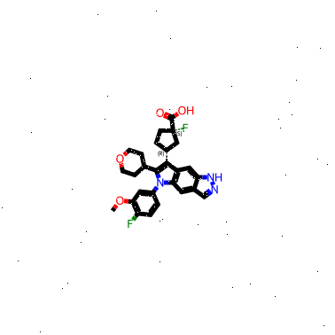 COc1cc(-n2c(C3CCOCC3)c([C@@H]3CC[C@@](F)(C(=O)O)C3)c3cc4[nH]ncc4cc32)ccc1F